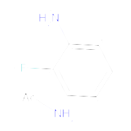 CC(N)=O.Nc1ccccc1F